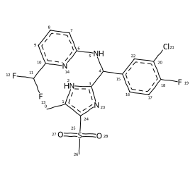 Cc1[nH]c(C(Nc2cccc(C(F)F)n2)c2ccc(F)c(Cl)c2)nc1S(C)(=O)=O